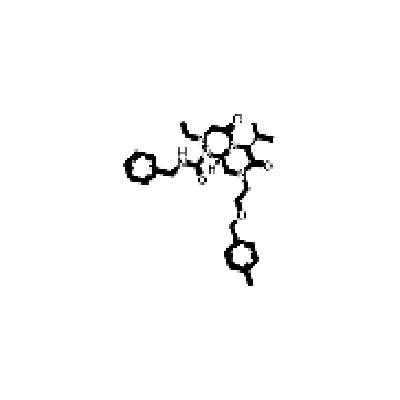 CCN1CC(=O)N2[C@@H](C(C)C)C(=O)N(CCOCc3ccc(C)cc3)C[C@@H]2N1C(=O)NCc1ccccc1